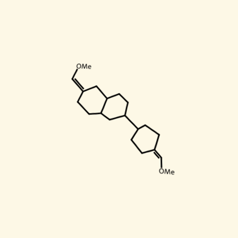 COC=C1CCC(C2CCC3CC(=COC)CCC3C2)CC1